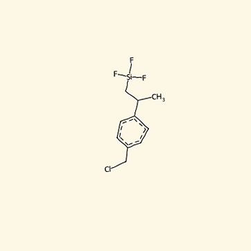 CC(C[Si](F)(F)F)c1ccc(CCl)cc1